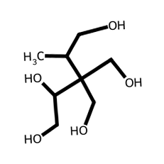 CC(CO)C(CO)(CO)C(O)CO